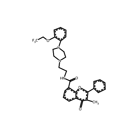 Cc1c(-c2ccccc2)oc2c(C(=O)NCCN3CCN(c4ccccc4OCC(F)(F)F)CC3)cccc2c1=O